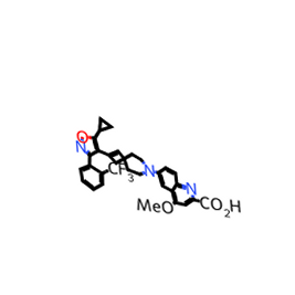 COc1cc(C(=O)O)nc2ccc(N3CCC4(C=C(c5c(-c6ccccc6C(F)(F)F)noc5C5CC5)C4)CC3)cc12